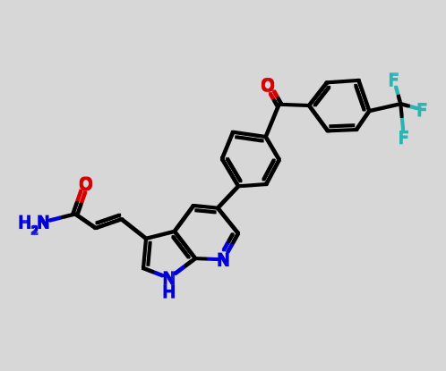 NC(=O)C=Cc1c[nH]c2ncc(-c3ccc(C(=O)c4ccc(C(F)(F)F)cc4)cc3)cc12